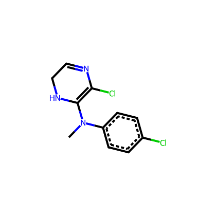 CN(C1=C(Cl)N=CCN1)c1ccc(Cl)cc1